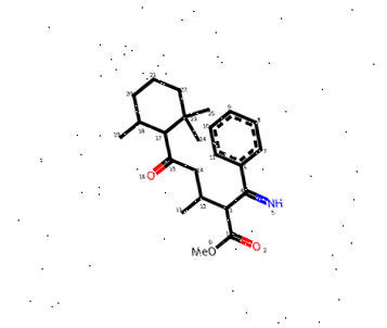 COC(=O)C(C(=N)c1ccccc1)C(C)CC(=O)C1C(C)CCCC1(C)C